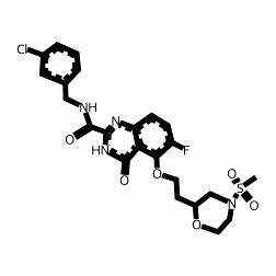 CS(=O)(=O)N1CCOC(CCOc2c(F)ccc3nc(C(=O)NCc4cccc(Cl)c4)[nH]c(=O)c23)C1